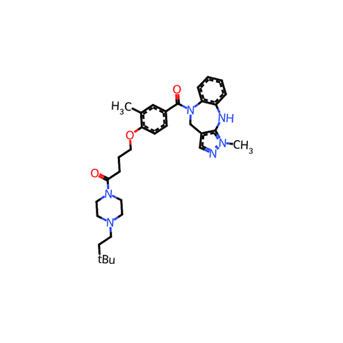 Cc1cc(C(=O)N2Cc3cnn(C)c3Nc3ccccc32)ccc1OCCCC(=O)N1CCN(CCC(C)(C)C)CC1